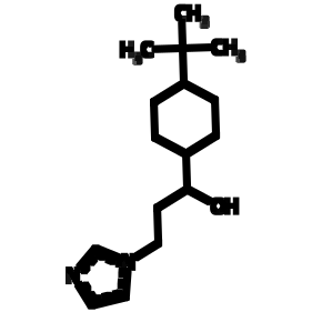 CC(C)(C)C1CCC(C(O)CCn2ccnc2)CC1